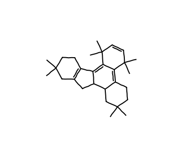 CC1(C)CCC2=C(CC3C2=C2C(=C4CCC(C)(C)CC43)C(C)(C)C=CC2(C)C)C1